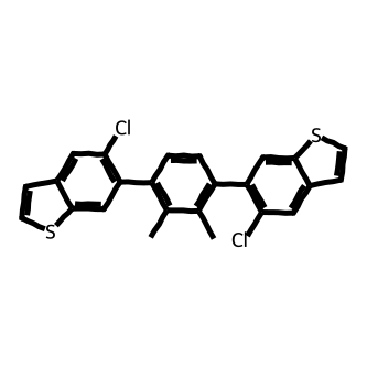 Cc1c(-c2cc3sccc3cc2Cl)ccc(-c2cc3sccc3cc2Cl)c1C